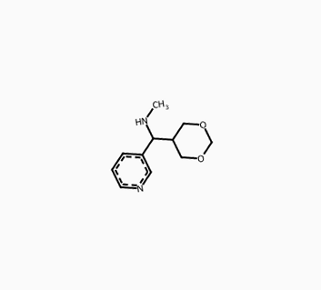 CNC(c1cccnc1)C1COCOC1